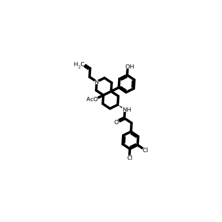 C=CCN1CCC2(c3cccc(O)c3)C[C@H](NC(=O)Cc3ccc(Cl)c(Cl)c3)CCC2(OC(C)=O)C1